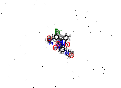 O=c1c2ccccc2c(-c2cc(Br)cc(-c3ncco3)c2)nn1-c1cc(N2CCOCC2)ccc1[N+](=O)[O-]